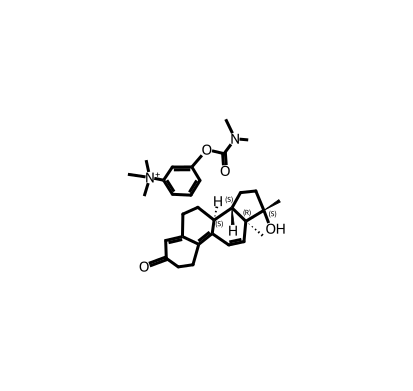 CN(C)C(=O)Oc1cccc([N+](C)(C)C)c1.C[C@]1(O)CC[C@H]2[C@@H]3CCC4=CC(=O)CCC4=C3C=C[C@@]21C